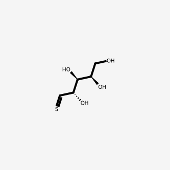 OC[C@@H](O)[C@H](O)[C@H](O)C=S